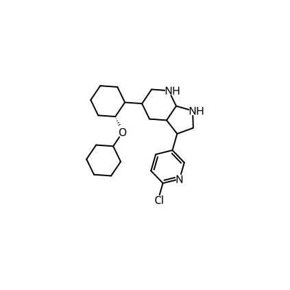 Clc1ccc(C2CNC3NCC(C4CCCC[C@H]4OC4CCCCC4)CC32)cn1